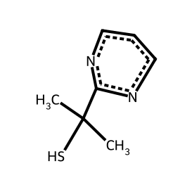 CC(C)(S)c1ncccn1